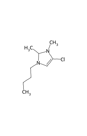 CCCCN1C=C(Cl)N(C)C1C